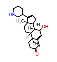 C[C@]12CCC(=O)CC1=CC(O)[C@@H]1[C@H]2CC[C@]2(C)C(C3CCCNC3)=CC[C@@H]12